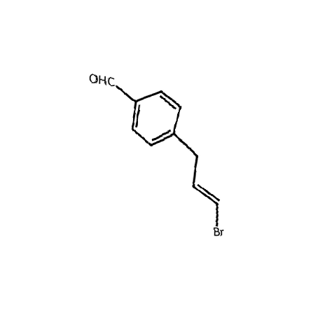 O=Cc1ccc(CC=CBr)cc1